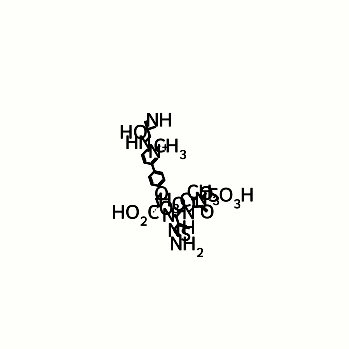 C[n+]1cc(-c2ccc(OC[C@H](O/N=C(\C(=O)N[C@@H]3C(=O)N(OS(=O)(=O)O)C3(C)C)c3csc(N)n3)C(=O)O)cc2)ccc1NCC1(O)CNC1